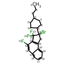 CCCC1CCC(C2(Br)Cc3c(c(F)cc4ccccc34)C2(F)F)CC1